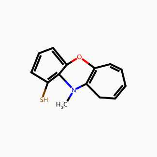 CN1C2=C(C=CC=CC2)Oc2cccc(S)c21